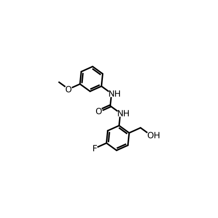 COc1cccc(NC(=O)Nc2cc(F)ccc2CO)c1